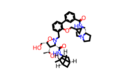 CCN1CCC[C@H]1CNC(=O)c1cccc(-c2cccc(CN3O[C@@H](CO)[C@@H]([C@H](C)O)[C@H]3C(=O)N[C@H]3C[C@H]4C[C@@H]([C@@H]3C)C4(C)C)c2OCC2CC2)c1